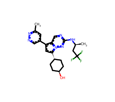 Cc1cc(-c2cc([C@H]3CC[C@H](O)CC3)n3nc(N[C@@H](C)CC(F)(F)F)ncc23)cnn1